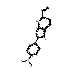 C=Cc1ccc2nc(-c3ccc(N(C)C)cc3)sc2n1